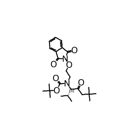 CC(C)[C@@H](C(=O)CC(C)(C)C)N(CCON1C(=O)c2ccccc2C1=O)C(=O)OC(C)(C)C